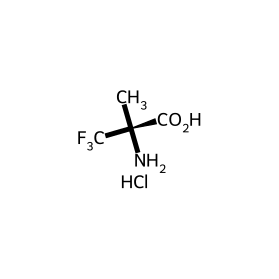 C[C@@](N)(C(=O)O)C(F)(F)F.Cl